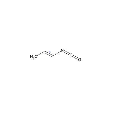 C/C=C/N=C=O